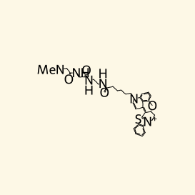 CNCC(=O)NCC(=O)NCCNC(=O)CCCCCN1C=CC2=C3c4sc5ccccc5[n+]4CCC3Oc3cccc1c32